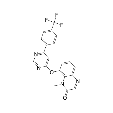 Cn1c(=O)cnc2cccc(Oc3cc(-c4ccc(C(F)(F)F)cc4)ncn3)c21